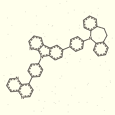 c1ccc2c(c1)CCc1ccccc1N2c1ccc(-c2ccc3c(c2)c2cccnc2n3-c2ccc(-c3ccnc4cccnc34)cc2)cc1